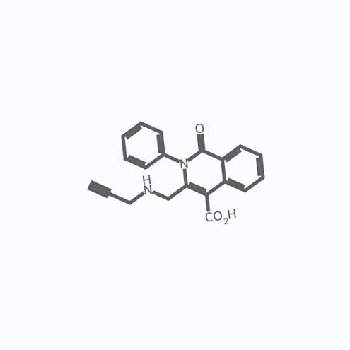 C#CCNCc1c(C(=O)O)c2ccccc2c(=O)n1-c1ccccc1